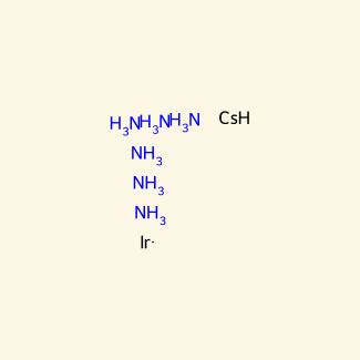 N.N.N.N.N.N.[CsH].[Ir]